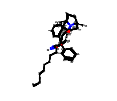 CCCCCCCCCCCCN1[C@@H]2CC[C@H]1C[C@@H](CC(C#N)(c1ccccc1)c1ccccc1)C2